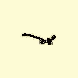 CCCCCCCCCCCCCCCCCOCC(O)COP(=O)(O)OCC[N+](C)(C)C